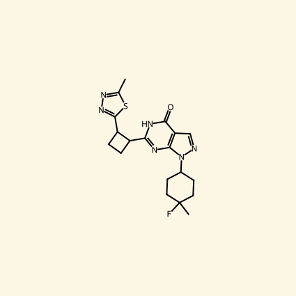 Cc1nnc(C2CCC2c2nc3c(cnn3C3CCC(C)(F)CC3)c(=O)[nH]2)s1